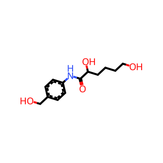 O=C(Nc1ccc(CO)cc1)C(O)CCCCO